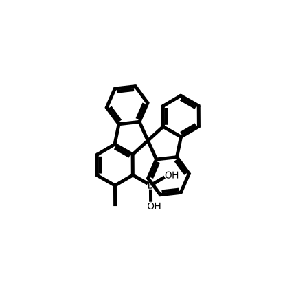 CC1C=CC2=C(C1B(O)O)C1(c3ccccc32)c2ccccc2-c2ccccc21